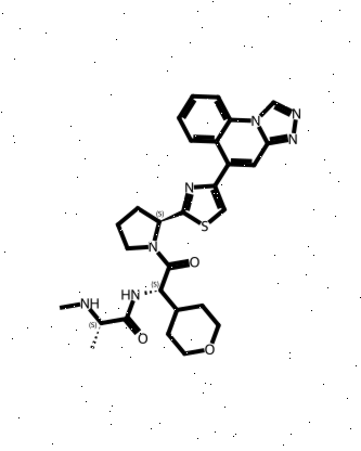 CN[C@@H](C)C(=O)N[C@H](C(=O)N1CCC[C@H]1c1nc(-c2cc3nncn3c3ccccc23)cs1)C1CCOCC1